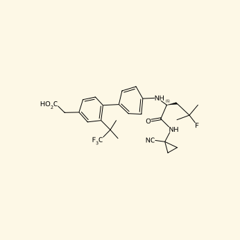 CC(C)(F)C[C@H](Nc1ccc(-c2ccc(CC(=O)O)cc2C(C)(C)C(F)(F)F)cc1)C(=O)NC1(C#N)CC1